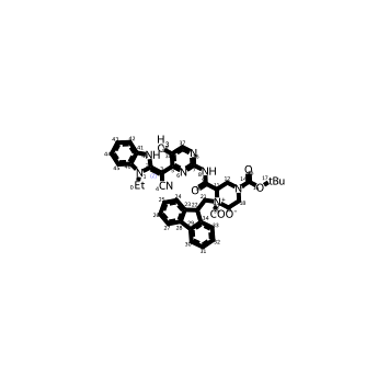 CCN1/C(=C(\C#N)c2nc(NC(=O)C3CN(C(=O)OC(C)(C)C)CC[N+]3(CC3c4ccccc4-c4ccccc43)C(=O)[O-])ncc2C)Nc2ccccc21